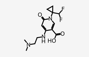 CN(C)CCNc1cc(=O)n(C2(C(F)F)CC2)cc1C(=O)O